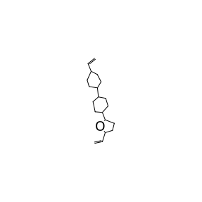 C=CC1CCC(C2CCC(C3CCC(C=C)O3)CC2)CC1